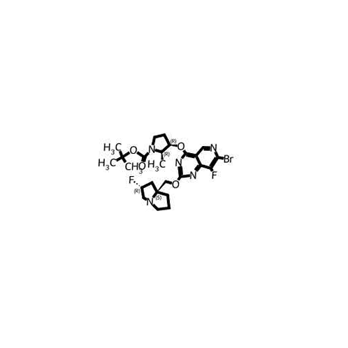 C[C@@H]1[C@H](Oc2nc(OC[C@@]34CCCN3C[C@H](F)C4)nc3c(F)c(Br)ncc23)CCN1C(=O)OC(C)(C)C